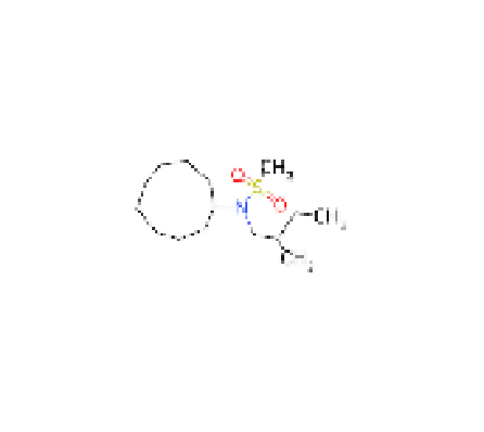 CCC(C)CN(C1CCCCCCCC1)S(C)(=O)=O